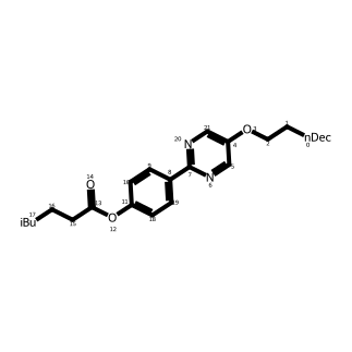 CCCCCCCCCCCCOc1cnc(-c2ccc(OC(=O)CCC(C)CC)cc2)nc1